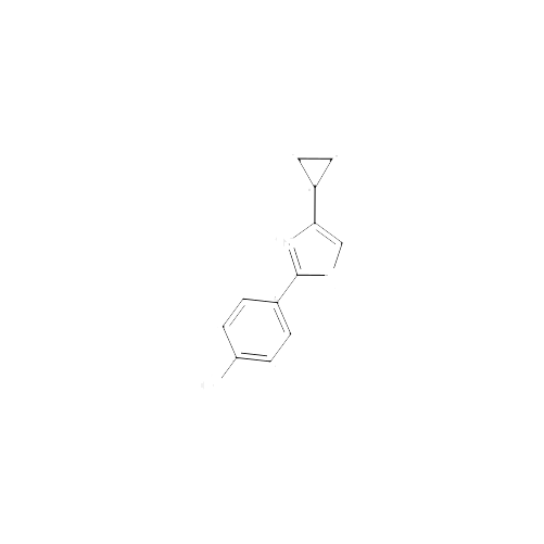 O=Cc1ccc(-c2nc(C3CC3)co2)cc1